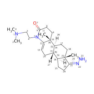 CN(C)CCN1C(=O)CC[C@@]2(C)C1=CC[C@@H]1[C@@H]2CC[C@]2(C)/C(=N\N)CC[C@@H]12